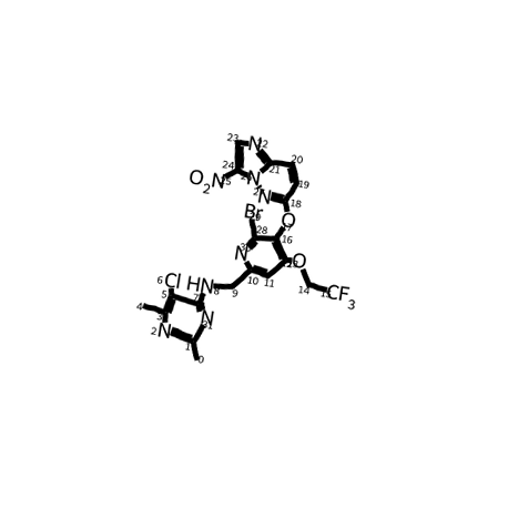 Cc1nc(C)c(Cl)c(NCc2cc(OCC(F)(F)F)c(Oc3ccc4ncc([N+](=O)[O-])n4n3)c(Br)n2)n1